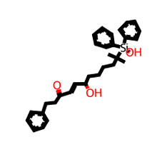 CC(C)(CCCCC(O)/C=C/C(=O)CCc1ccccc1)[Si](O)(c1ccccc1)c1ccccc1